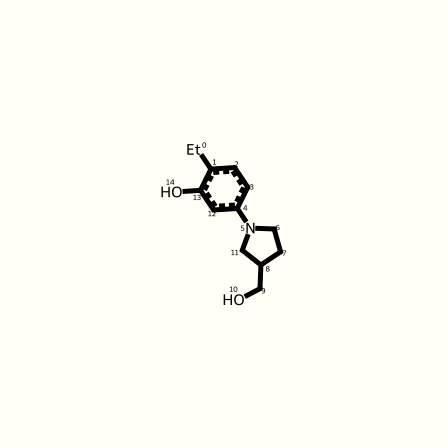 CCc1ccc(N2CCC(CO)C2)cc1O